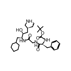 CC[C@H](CN)C[C@H](O)[C@H](CC1CCCCC1)NC(=O)CNC(=O)[C@H](Cc1ccccc1)NC(=O)OC(C)(C)C